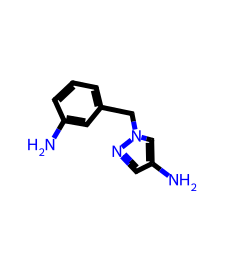 Nc1cccc(Cn2cc(N)cn2)c1